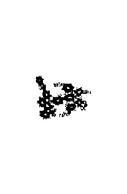 CC(C)(C)c1ccc(N2c3ccc(C(C)(C)C)cc3B3c4cc5c(cc4N(c4ccc(C(C)(C)C)cc4)c4cc(-c6ccc(N(c7ccc(-c8cc9ccccc9o8)cc7)c7cc8c(c9ccccc79)-c7ccccc7C8(C)C)cc6)cc2c43)OCCO5)cc1